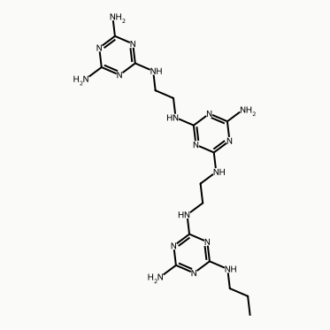 CCCNc1nc(N)nc(NCCNc2nc(N)nc(NCCNc3nc(N)nc(N)n3)n2)n1